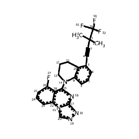 CC(C)(C#Cc1cccc2c1CCCN2c1nc2nncn2c2cccc(F)c12)C(F)(F)F